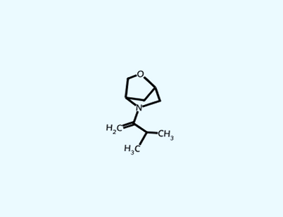 C=C(C(C)C)N1CC2CC1CO2